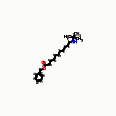 CC(C)(C)NCCCCCCCCCCC(=O)OCc1ccccc1